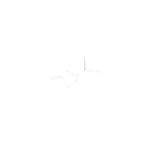 COC(=O)C1=CC(=NO)CC1